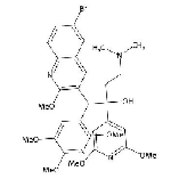 COc1cc(C(O)(CCN(C)C)C(c2cc(OC)c(OC)nc2OC)c2cc3cc(Br)ccc3nc2OC)cc(OC)n1